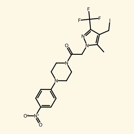 Cc1c(CI)c(C(F)(F)F)nn1CC(=O)N1CCN(c2ccc([N+](=O)[O-])cc2)CC1